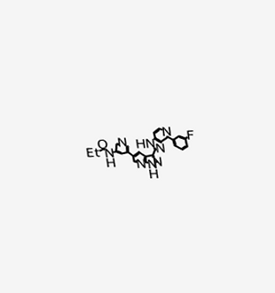 CCC(=O)Nc1cncc(-c2cnc3[nH]nc(-c4nc5c(-c6cccc(F)c6)nccc5[nH]4)c3c2)c1